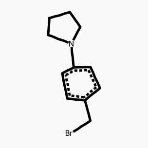 BrCc1ccc(N2CCCC2)cc1